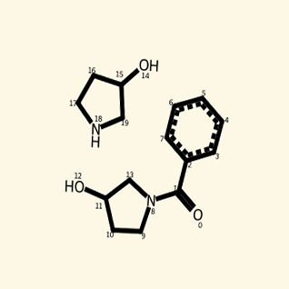 O=C(c1ccccc1)N1CCC(O)C1.OC1CCNC1